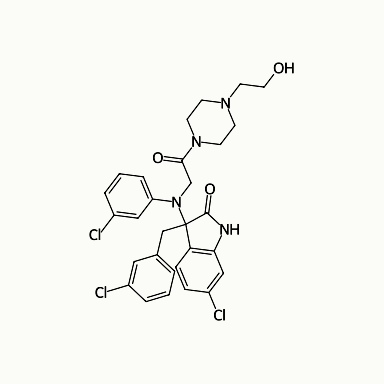 O=C(CN(c1cccc(Cl)c1)C1(Cc2cccc(Cl)c2)C(=O)Nc2cc(Cl)ccc21)N1CCN(CCO)CC1